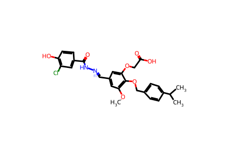 COc1cc(/C=N/NC(=O)c2ccc(O)c(Cl)c2)cc(OCC(=O)O)c1OCc1ccc(C(C)C)cc1